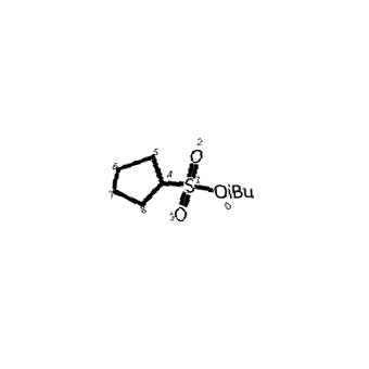 CC(C)COS(=O)(=O)C1CCCC1